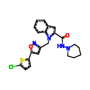 O=C(NN1CCCCC1)c1cc2ccccc2n1Cc1cc(-c2ccc(Cl)s2)on1